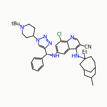 CCC1(Nc2c(C#N)cnc3c(Cl)cc(N[C@@H](c4ccccc4)c4cn(C5CCN(C(C)(C)C)CC5)nn4)cc23)CCC2CC(C)CC(C2)C1